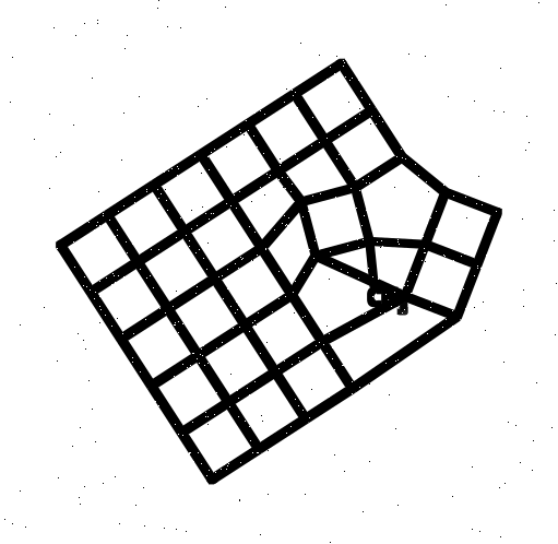 CC12C34C5CC3C3C6CC7C8C9C%10C%11CC%12C%13C%14C%15CC%16C%17C%18C5C45C%184C%17%18C%15%16C%14%15C%13%14C%12%11C%10%11C9%10C89C67C31C91C25C42C%15%18C%14%11C%1012